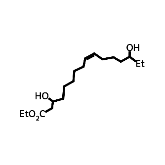 CCOC(=O)CC(O)CCCCC/C=C\CCCC(O)CC